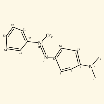 CN(C)c1ccc(/N=[N+](\[O-])c2ccccc2)cc1